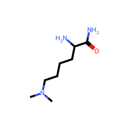 CN(C)CCCCC(N)C(N)=O